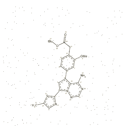 COc1cc(-c2cc(-c3ncc(C)s3)n3ncnc(N)c23)ccc1CC(=O)OC(C)(C)C